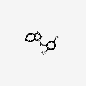 Cc1ccc(C)c(Nn2[c]nc3ccccc32)c1